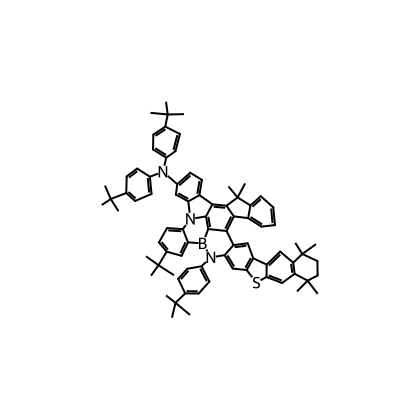 CC(C)(C)c1ccc(N2B3c4cc(C(C)(C)C)ccc4-n4c5cc(N(c6ccc(C(C)(C)C)cc6)c6ccc(C(C)(C)C)cc6)ccc5c5c6c(c(c3c54)-c3cc4c(cc32)sc2cc3c(cc24)C(C)(C)CCC3(C)C)-c2ccccc2C6(C)C)cc1